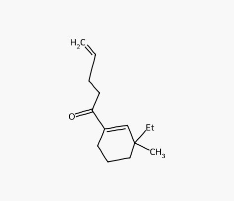 C=CCCC(=O)C1=CC(C)(CC)CCC1